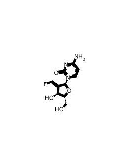 Nc1ccn([C@H]2O[C@H](CO)[C@@H](O)/C2=C\F)c(=O)n1